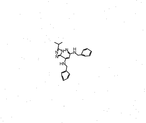 CC(C)c1nnc2c(NCc3ccccc3)cc(NCc3ccccc3)nn12